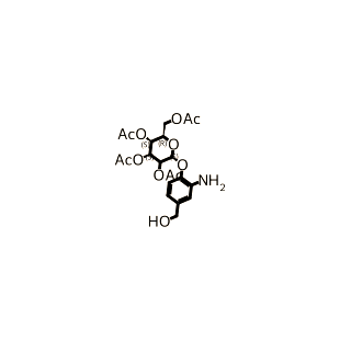 CC(=O)OC[C@H]1O[C@@H](Oc2ccc(CO)cc2N)C(OC(C)=O)[C@@H](OC(C)=O)[C@H]1OC(C)=O